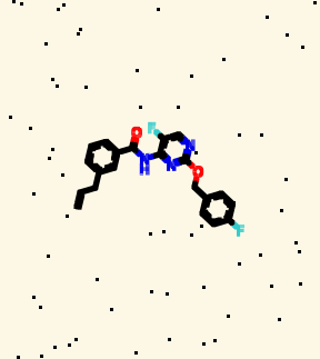 C=CCc1cccc(C(=O)Nc2nc(OCc3ccc(F)cc3)ncc2F)c1